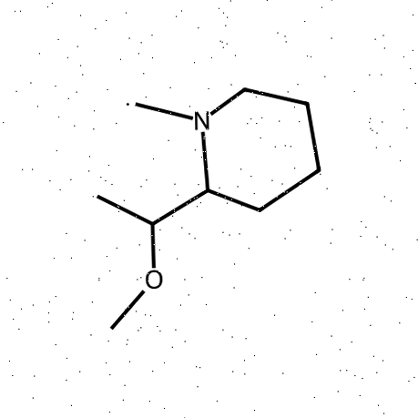 [CH2]N1CCCCC1C(C)OC